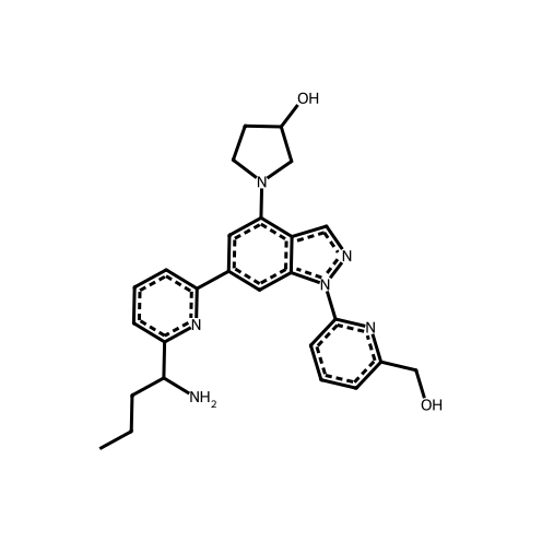 CCCC(N)c1cccc(-c2cc(N3CCC(O)C3)c3cnn(-c4cccc(CO)n4)c3c2)n1